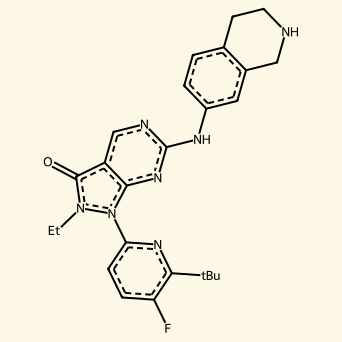 CCn1c(=O)c2cnc(Nc3ccc4c(c3)CNCC4)nc2n1-c1ccc(F)c(C(C)(C)C)n1